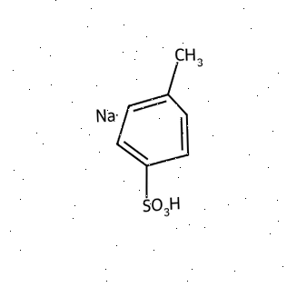 Cc1ccc(S(=O)(=O)O)cc1.[Na]